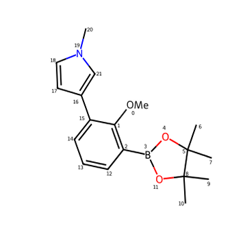 COc1c(B2OC(C)(C)C(C)(C)O2)cccc1-c1ccn(C)c1